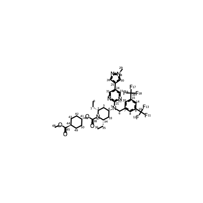 CC[C@@H]1C[C@H](N(Cc2cc(C(F)(F)F)cc(C(F)(F)F)c2)c2ncc(-c3cnn(C)c3)cn2)C[C@H](CC)N1C(=O)O[C@H]1CC[C@H](C(=O)OC)CC1